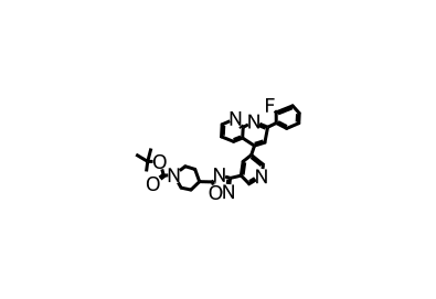 CC(C)(C)OC(=O)N1CCC(c2nc(-c3cncc(-c4cc(-c5ccccc5F)nc5ncccc45)c3)no2)CC1